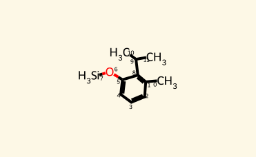 Cc1cccc(O[SiH3])c1C(C)C